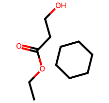 C1CCCCC1.CCOC(=O)CCO